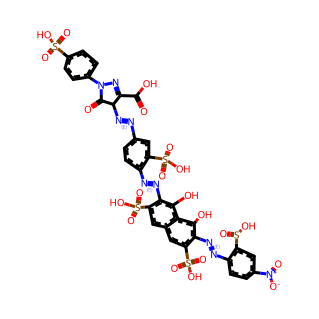 O=C(O)C1=NN(c2ccc(S(=O)(=O)O)cc2)C(=O)C1/N=N/c1ccc(/N=N/c2c(S(=O)(=O)O)cc3cc(S(=O)(=O)O)c(/N=N/c4ccc([N+](=O)[O-])cc4S(=O)O)c(O)c3c2O)c(S(=O)(=O)O)c1